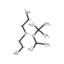 CC(C)OC(C)(C)C.OCCOCCO